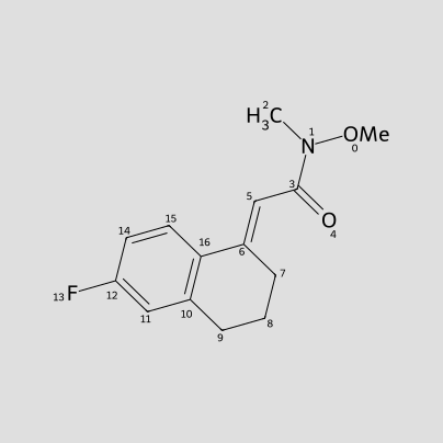 CON(C)C(=O)/C=C1\CCCc2cc(F)ccc21